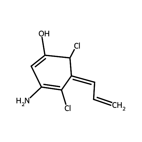 C=CC=C1C(Cl)=C(N)C=C(O)C1Cl